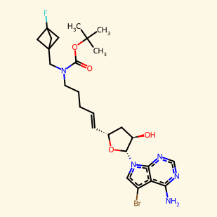 CC(C)(C)OC(=O)N(CCC/C=C/[C@@H]1C[C@@H](O)[C@H](n2cc(Br)c3c(N)ncnc32)O1)CC12CC(F)(C1)C2